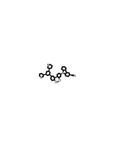 N#Cc1ccc2c(c1)c1ccccc1n2-c1ccc2c(c1)OCOc1ccc(-c3cc(-c4cccnc4)cc(-c4cccnc4)c3)cc1-2